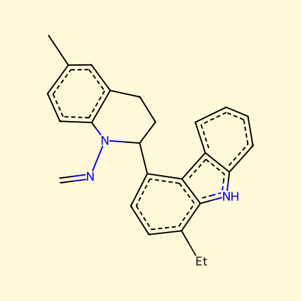 C=NN1c2ccc(C)cc2CCC1c1ccc(CC)c2[nH]c3ccccc3c12